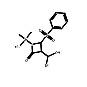 CCC(O)C1C(=O)N([Si](C)(C)C(C)(C)C)C1S(=O)(=O)c1ccccc1